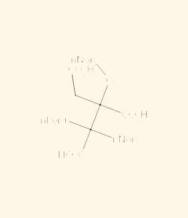 CCCCCCCCCOC(CC(=O)O)(C(=O)O)C(CCCCC)(CCCCCCCCC)C(=O)O